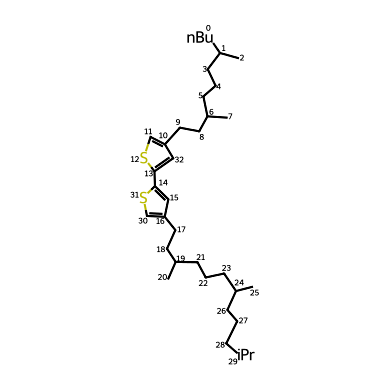 CCCCC(C)CCCC(C)CCc1csc(-c2cc(CCC(C)CCCC(C)CCCC(C)C)cs2)c1